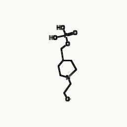 [O]CCN1CCC(COP(=O)(O)O)CC1